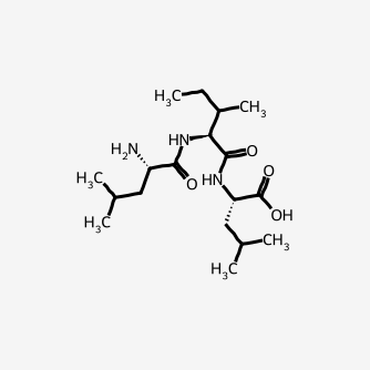 CCC(C)[C@H](NC(=O)[C@@H](N)CC(C)C)C(=O)N[C@@H](CC(C)C)C(=O)O